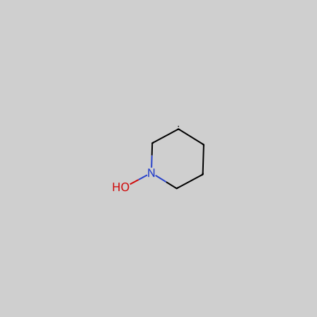 ON1C[CH]CCC1